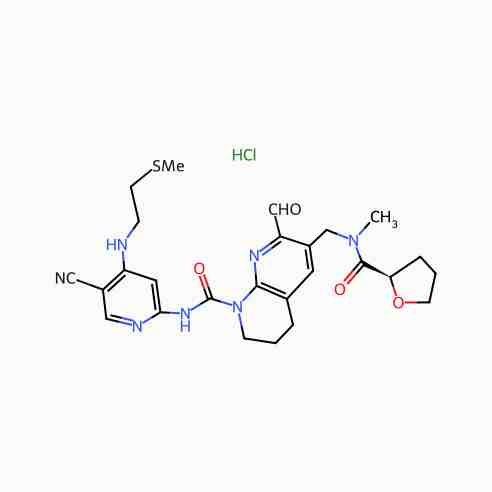 CSCCNc1cc(NC(=O)N2CCCc3cc(CN(C)C(=O)[C@H]4CCCO4)c(C=O)nc32)ncc1C#N.Cl